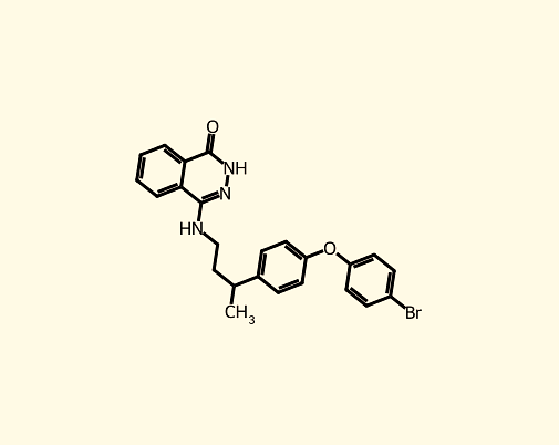 CC(CCNc1n[nH]c(=O)c2ccccc12)c1ccc(Oc2ccc(Br)cc2)cc1